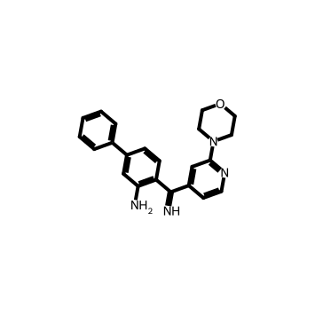 N=C(c1ccnc(N2CCOCC2)c1)c1ccc(-c2ccccc2)cc1N